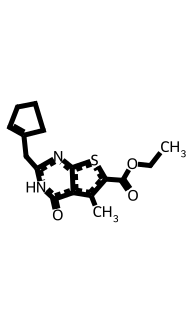 CCOC(=O)c1sc2nc(CC3=CCCC3)[nH]c(=O)c2c1C